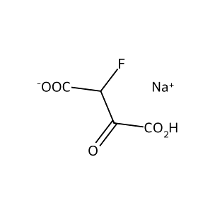 O=C(O)C(=O)C(F)C(=O)[O-].[Na+]